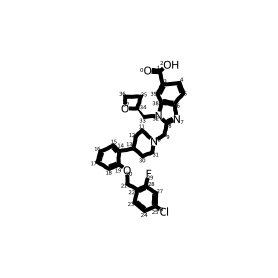 O=C(O)c1ccc2nc(CN3CCC(c4ccccc4OCc4ccc(Cl)cc4F)CC3)n(C[C@@H]3CCO3)c2c1